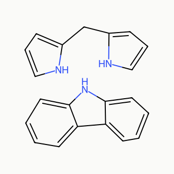 c1c[nH]c(Cc2ccc[nH]2)c1.c1ccc2c(c1)[nH]c1ccccc12